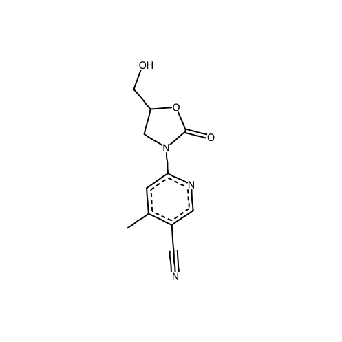 Cc1cc(N2CC(CO)OC2=O)ncc1C#N